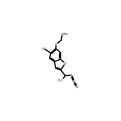 COCOc1cc2oc(C(C)N=[N+]=[N-])cc2cc1Cl